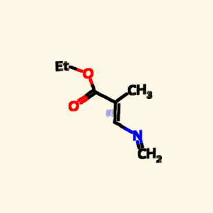 C=N/C=C(\C)C(=O)OCC